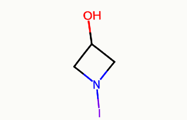 OC1CN(I)C1